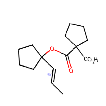 C/C=C/C1(OC(=O)C2(C(=O)O)CCCC2)CCCC1